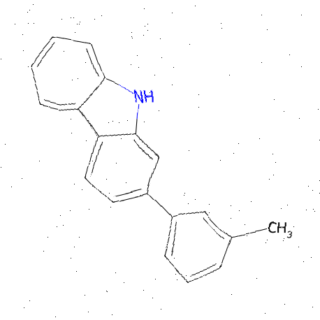 Cc1cccc(-c2ccc3c(c2)[nH]c2ccccc23)c1